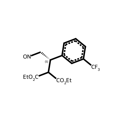 CCOC(=O)C(C(=O)OCC)[C@H](CN=O)c1cccc(C(F)(F)F)c1